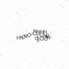 CCN(C)S(=O)(=O)Nc1ccc(F)c(C(=O)c2c[nH]c3ncc(-c4ccc(N5CCNCC5)cc4)cc23)c1Cl